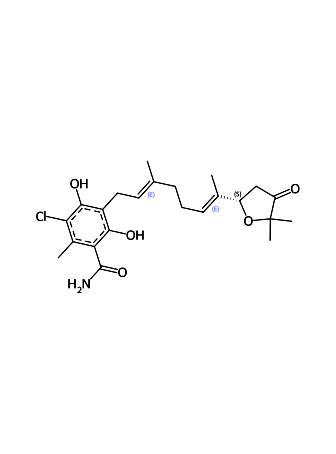 C/C(=C\Cc1c(O)c(Cl)c(C)c(C(N)=O)c1O)CC/C=C(\C)[C@@H]1CC(=O)C(C)(C)O1